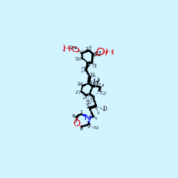 C[C@H](CCN1CCOC[C@H]1C)[C@H]1CC[C@H]2/C(=C/C=C3C[C@@H](O)C[C@H](O)C3)CCC[C@]12C